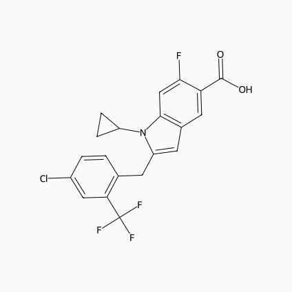 O=C(O)c1cc2cc(Cc3ccc(Cl)cc3C(F)(F)F)n(C3CC3)c2cc1F